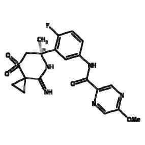 COc1cnc(C(=O)Nc2ccc(F)c([C@]3(C)CS(=O)(=O)C4(CC4)C(=N)N3)c2)cn1